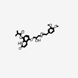 COc1ccc(CCNCC(O)COc2ccc(OC(=O)C(C)C)c3[nH]c(=O)ccc23)cc1OC